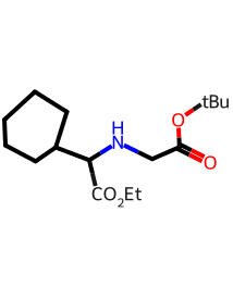 CCOC(=O)C(NCC(=O)OC(C)(C)C)C1CCCCC1